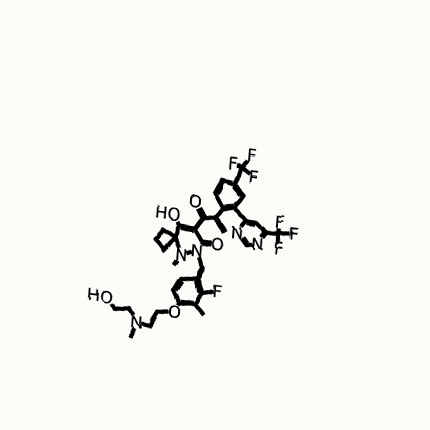 C=C(C(=O)C1=C(O)C2(CCC2)N(C)N(Cc2ccc(OCCN(C)CCO)c(C)c2F)C1=O)c1ccc(C(F)(F)F)cc1-c1cc(C(F)(F)F)ncn1